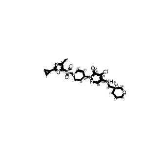 Cc1nc(C2CC2)oc1S(=O)(=O)N1CCC(n2ncc(NC[C@]3(F)CCCOC3)c(Cl)c2=O)CC1